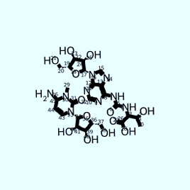 CC(O)C(NC(=O)Nc1ncnc2c1ncn2[C@@H]1O[C@H](CO)[C@@H](O)[C@H]1O)C(=O)O.CN1C(=O)N([C@@H]2O[C@H](CO)[C@@H](O)[C@H]2O)C=CC1N